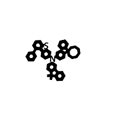 CC1(C)c2ccccc2-c2cc(N(c3ccc(C4(c5ccccc5)CCCCCCC4)cc3)c3ccc4c(c3)sc3cccc(-c5ccccc5)c34)ccc21